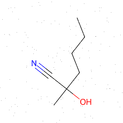 CCCCC(C)(O)C#N